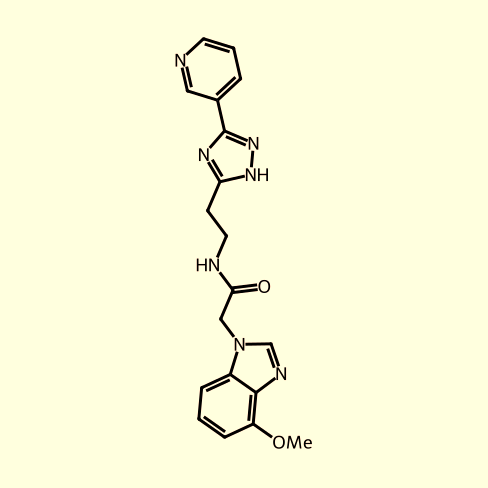 COc1cccc2c1ncn2CC(=O)NCCc1nc(-c2cccnc2)n[nH]1